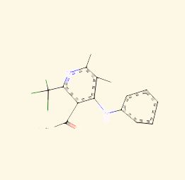 COC(=O)c1c(C(F)(F)Cl)nc(C(F)(F)F)c(C(=O)O)c1Nc1ccccc1